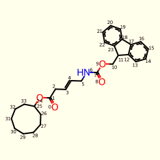 O=C(C/C=C/CNC(=O)OCC1c2ccccc2-c2ccccc21)OC1CCCCCCCC1